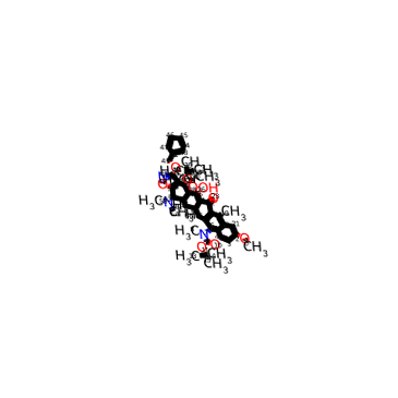 COc1ccc2c(N(C)C(=O)OC(C)(C)C)c3c(c(C)c2c1)C(=O)C1=C(O)[C@]2(O[Si](C)(C)C(C)(C)C)C(=O)c4c(OCc5ccccc5)noc4[C@@H](N(C)C)[C@@H]2C[C@@H]1C3